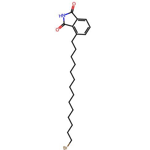 O=C1NC(=O)c2c(CCCCCCCCCCCCCCBr)cccc21